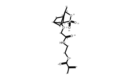 C=C(C)C(=O)OCCNC(=O)COC1C2CC3C(C2)S(=O)(=O)OC31C